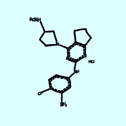 CC(=O)NC1CCN(c2nc(Nc3ccc(Cl)c(N)c3)nc3c2CCC3)C1.Cl